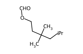 CC(C)CC(C)(C)CCOC=O